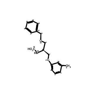 Cc1cccc(OC[C@H](COCc2ccccc2)NC(=O)O)c1